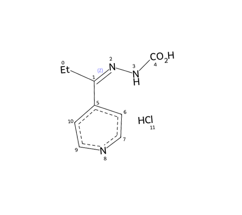 CC/C(=N/NC(=O)O)c1ccncc1.Cl